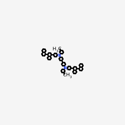 Cc1cccc(N(c2ccc(-c3ccc(N(c4ccc(-c5ccc(-c6cccc7ccccc67)c6ccccc56)cc4)c4cccc(C)c4)cc3)cc2)c2ccc(-c3ccc(-c4cccc5ccccc45)c4ccccc34)cc2)c1